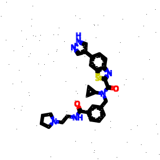 O=C(NCCN1CCCC1)c1cccc(CN(C(=O)c2nc3ccc(-c4cn[nH]c4)cc3s2)C2CC2)c1